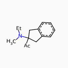 CCN(C)C1(C(C)=O)Cc2ccccc2C1